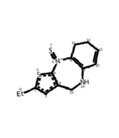 CCc1cc2c(s1)[N+](=S)C1=C(C=CCC1)NC2